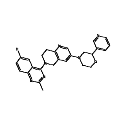 Cc1nc(N2CCc3ncc(N4CCOC(c5cccnc5)C4)cc3C2)c2cc(F)ccc2n1